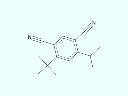 CC(C)c1cc(C(C)(C)C)c(C#N)cc1C#N